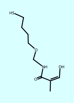 CC(=CO)C(=O)NCOCCCCS